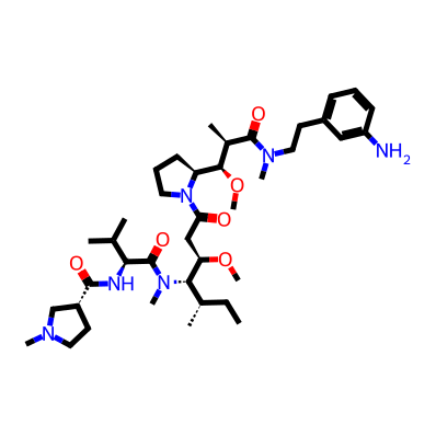 CC[C@H](C)[C@@H]([C@@H](CC(=O)N1CCC[C@H]1[C@H](OC)[C@@H](C)C(=O)N(C)CCc1cccc(N)c1)OC)N(C)C(=O)[C@@H](NC(=O)[C@@H]1CCN(C)C1)C(C)C